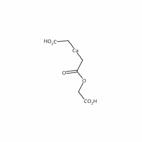 O=C(O)COC(=O)[CH2][Ca][CH2]C(=O)O